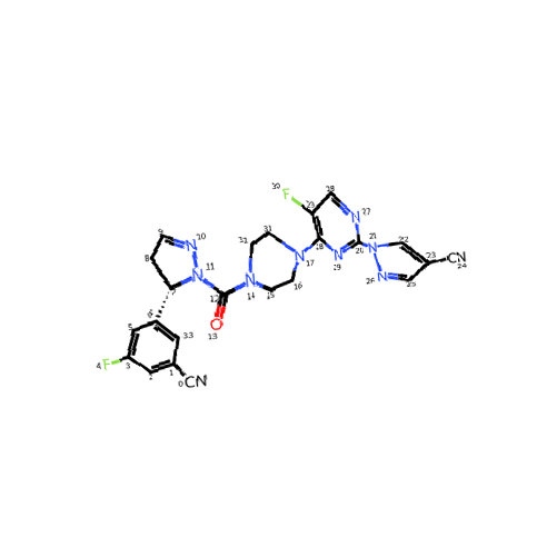 N#Cc1cc(F)cc([C@@H]2CC=NN2C(=O)N2CCN(c3nc(-n4cc(C#N)cn4)ncc3F)CC2)c1